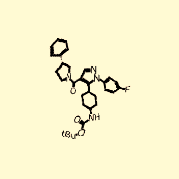 CC(C)(C)OC(=O)NC1CCC(c2c(C(=O)N3CC[C@H](c4ccccc4)C3)cnn2-c2ccc(F)cc2)CC1